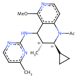 COc1nccc2c1C(Nc1nccc(C)n1)[C@@H](C)[C@H](C1CC1)N2C(C)=O